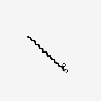 CCCCCCCCCCCCCCCCCC(=O)[C]=O